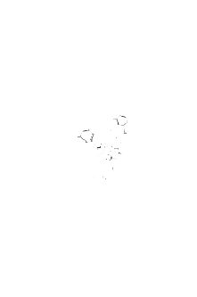 CC(=O)NCCCNC(=O)[C@H](COC(=O)c1cccc(O)c1O)NC(=O)[C@@H]1COC(c2cccc(O)c2O)=N1